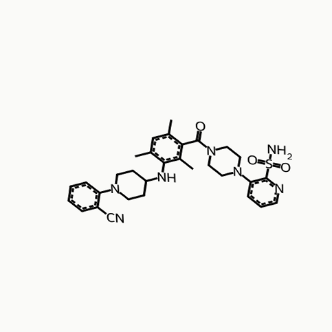 Cc1cc(C)c(C(=O)N2CCN(c3cccnc3S(N)(=O)=O)CC2)c(C)c1NC1CCN(c2ccccc2C#N)CC1